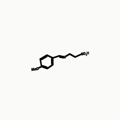 COc1ccc(C=NCCS(=O)(=O)O)cc1